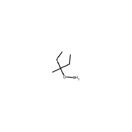 BOC(C)(CC)CC